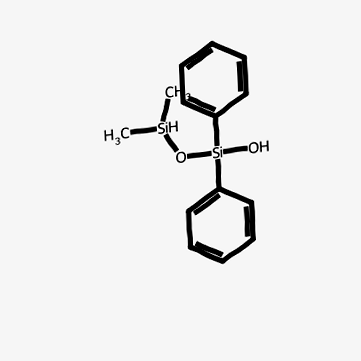 C[SiH](C)O[Si](O)(c1ccccc1)c1ccccc1